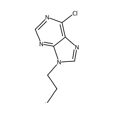 [CH2]CCn1cnc2c(Cl)ncnc21